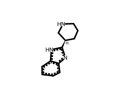 c1ccc2[nH]c([C@@H]3CCCNC3)nc2c1